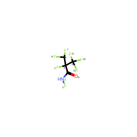 O=C(NF)C(F)(C(F)F)C(F)(F)F